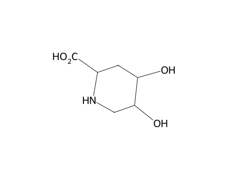 O=C(O)C1CC(O)C(O)CN1